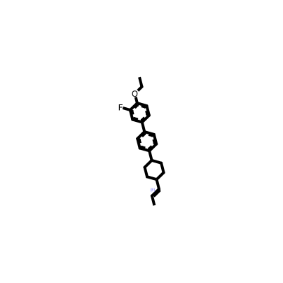 C/C=C/C1CCC(c2ccc(-c3ccc(OCC)c(F)c3)cc2)CC1